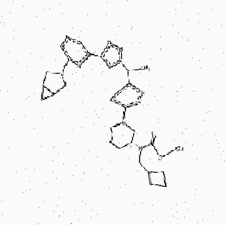 CC(c1ccc(N2CCC[C@@H](N(CC3CCC3)C(=O)OC(C)(C)C)C2)nn1)n1cc(-c2cncc(N3CC4CC4C3)n2)nn1